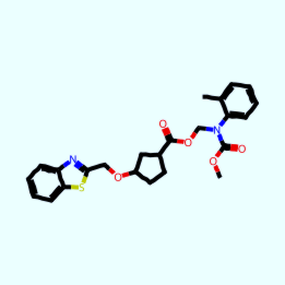 COC(=O)N(COC(=O)C1CCC(OCc2nc3ccccc3s2)C1)c1ccccc1C